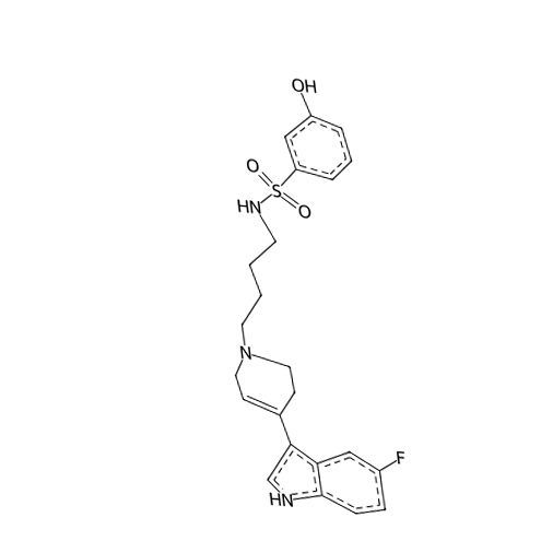 O=S(=O)(NCCCCN1CC=C(c2c[nH]c3ccc(F)cc23)CC1)c1cccc(O)c1